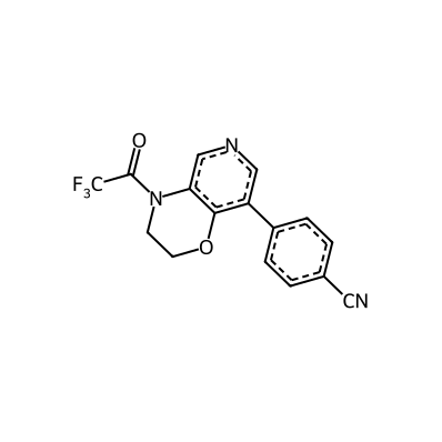 N#Cc1ccc(-c2cncc3c2OCCN3C(=O)C(F)(F)F)cc1